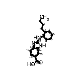 CCCCc1ccccc1Nc1nc2ccc(C(=O)O)cc2[nH]1